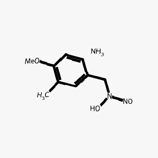 COc1ccc(CN(O)N=O)cc1C.N